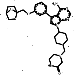 Nc1ncnc2c1c(-c1cccc(OCC34CCC(CC3)O4)c1)cn2C1CCC(CN2CCNC(=O)C2)CC1